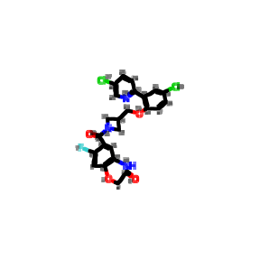 O=C1COc2cc(F)c(C(=O)N3CC(COc4ccc(Cl)cc4-c4ccc(Cl)cn4)C3)cc2N1